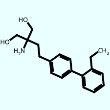 CCc1ccccc1-c1ccc(CCC(N)(CO)CO)cc1